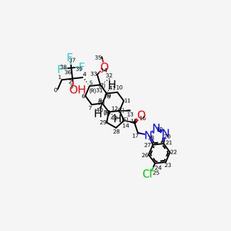 CCC(O)(C[C@H]1CC[C@@H]2[C@H](CC[C@]3(C)[C@@H](C(=O)Cn4nnc5ccc(Cl)cc54)CC[C@@H]23)[C@]1(C)COC)C(F)(F)F